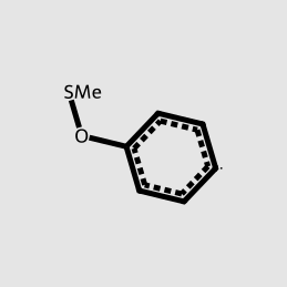 CSOc1cc[c]cc1